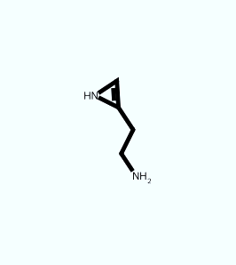 NCCC1=CN1